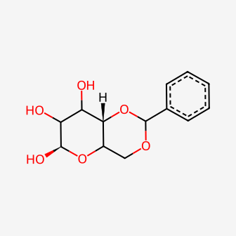 OC1C(O)[C@H](O)OC2COC(c3ccccc3)O[C@H]21